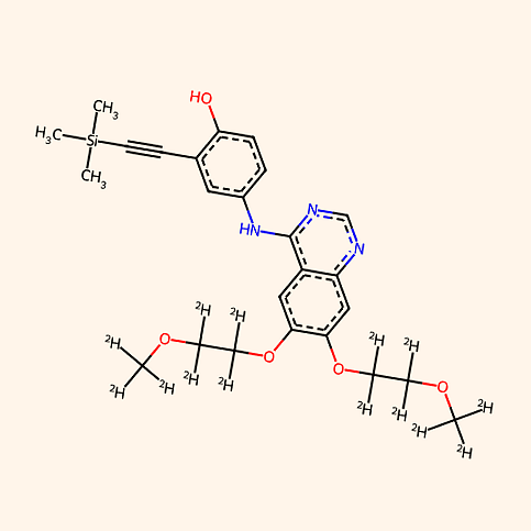 [2H]C([2H])([2H])OC([2H])([2H])C([2H])([2H])Oc1cc2ncnc(Nc3ccc(O)c(C#C[Si](C)(C)C)c3)c2cc1OC([2H])([2H])C([2H])([2H])OC([2H])([2H])[2H]